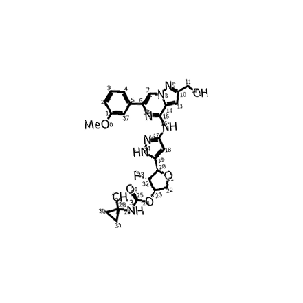 COc1cccc(-c2cn3nc(CO)cc3c(Nc3cc([C@H]4OC[C@@H](OC(=O)NC5(C)CC5)[C@@H]4F)[nH]n3)n2)c1